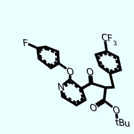 CC(C)(C)OC(=O)C(Cc1ccc(C(F)(F)F)cc1)C(=O)c1cccnc1Oc1ccc(F)cc1